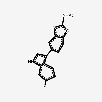 CC(=O)Nc1nc2cc(-c3c[nH]c4cc(F)ccc34)ccc2o1